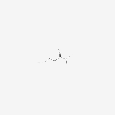 CCCC(=N)[C](C)O